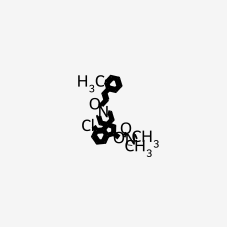 Cc1ccccc1/C=C/C(=O)N1CCC2(CC1)CC(OC(=O)N(C)C)c1cccc(Cl)c12